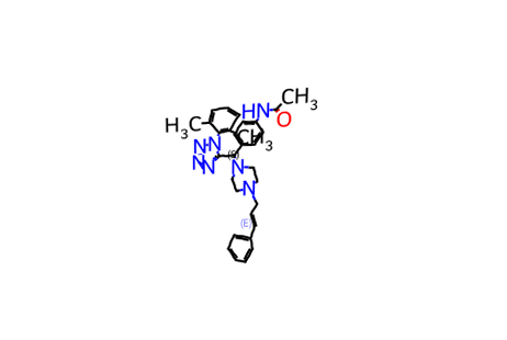 CC(=O)Nc1ccc([C@@H](c2nnnn2-c2c(C)cccc2C)N2CCN(C/C=C/c3ccccc3)CC2)cc1